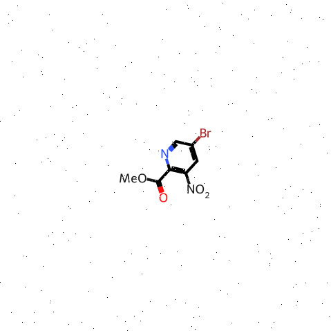 COC(=O)c1ncc(Br)cc1[N+](=O)[O-]